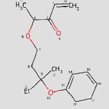 C=CC(=O)C(C)OCCC(C)(CC)OC1=CC=CCC1